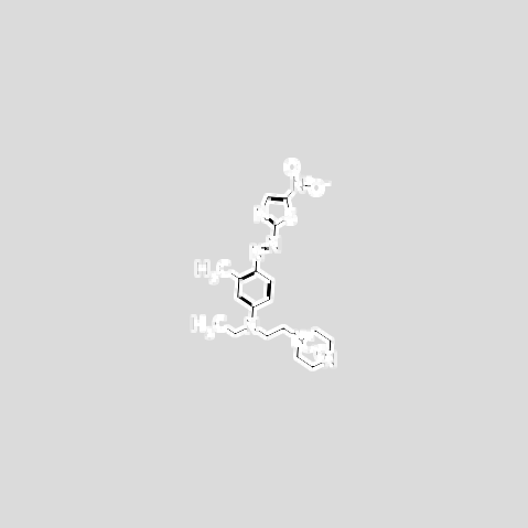 CCN(CC[N+]12CCN(CC1)CC2)c1ccc(N=Nc2ncc([N+](=O)[O-])s2)c(C)c1